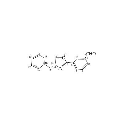 O=Cc1cccc(C2=N[C@H](Cc3ccccc3)CO2)c1